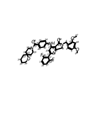 COc1ccc(CN2Cc3nc(-c4c(F)cccc4F)cc(Nc4ccc(C(=O)N5CCC6(CCCCO6)CC5)cc4)c3C2=O)c(OC)c1